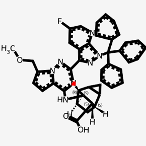 COCc1ccc2c(N[C@@H]3[C@@H](C(=O)O)[C@H]4CC[C@@H]3C3CC34)nc(-c3nn(C(c4ccccc4)(c4ccccc4)c4ccccc4)c4ncc(F)cc34)nn12